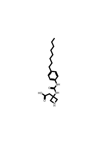 CCCCCCCCc1ccc(NC(=O)NC2(CC(=O)O)CNC2)cc1